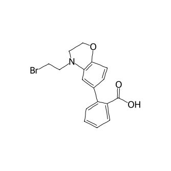 O=C(O)c1ccccc1-c1ccc2c(c1)N(CCBr)CCO2